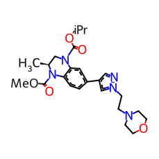 COC(=O)N1c2ccc(-c3cnn(CCN4CCOCC4)c3)cc2N(C(=O)OC(C)C)C[C@@H]1C